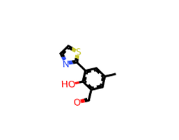 Cc1cc(C=O)c(O)c(-c2nccs2)c1